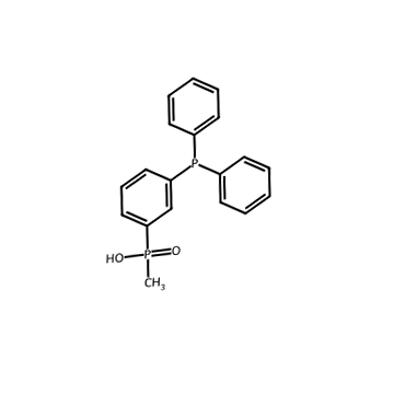 CP(=O)(O)c1cccc(P(c2ccccc2)c2ccccc2)c1